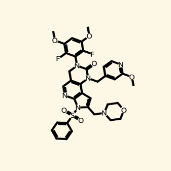 COc1cc(CN2C(=O)N(c3c(F)c(OC)cc(OC)c3F)Cc3cnc4c(cc(CN5CCOCC5)n4S(=O)(=O)c4ccccc4)c32)ccn1